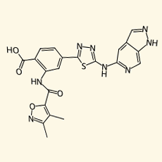 Cc1noc(C(=O)Nc2cc(-c3nnc(Nc4cc5cn[nH]c5cn4)s3)ccc2C(=O)O)c1C